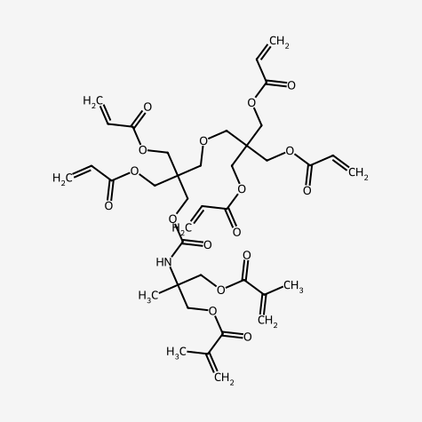 C=CC(=O)OCC(COCC(COC(=O)C=C)(COC(=O)C=C)COC(=O)NC(C)(COC(=O)C(=C)C)COC(=O)C(=C)C)(COC(=O)C=C)COC(=O)C=C